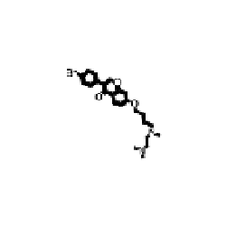 CN(C)CCN(C)CCCCOc1ccc2c(=O)c(-c3ccc(Br)cc3)coc2c1